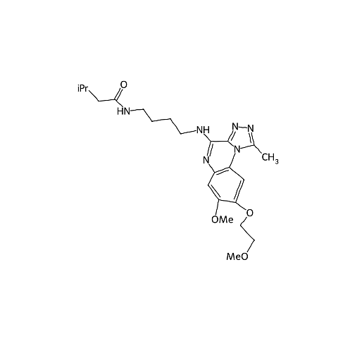 COCCOc1cc2c(cc1OC)nc(NCCCCNC(=O)CC(C)C)c1nnc(C)n12